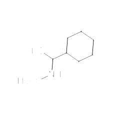 CC(NC(=O)O)C1CCCCC1